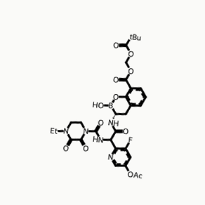 CCN1CCN(C(=O)NC(C(=O)N[C@H]2Cc3cccc(C(=O)OCOC(=O)C(C)(C)C)c3OB2O)c2ncc(OC(C)=O)cc2F)C(=O)C1=O